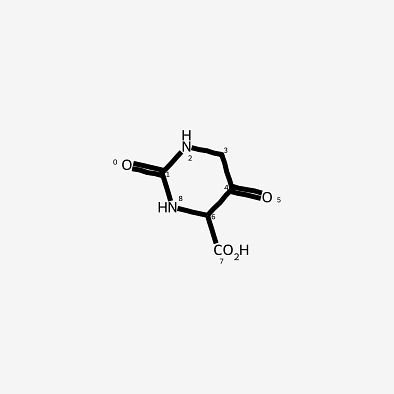 O=C1NCC(=O)C(C(=O)O)N1